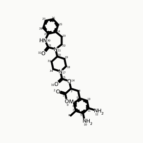 COC(=O)C(Cc1cc(C)c(N)c(N)c1)OC(=O)N1CCC(N2CCc3ccccc3NC2=O)CC1